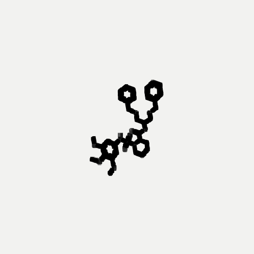 COc1cc(NS(=O)(=O)N2CCCCC2C(=O)OC(COCc2ccccc2)COCc2ccccc2)cc(OC)c1OC